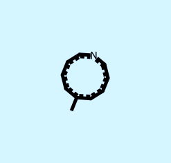 Cc1ccccncccc1